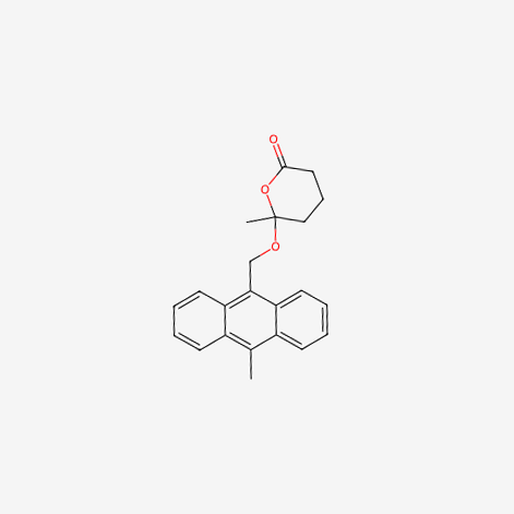 Cc1c2ccccc2c(COC2(C)CCCC(=O)O2)c2ccccc12